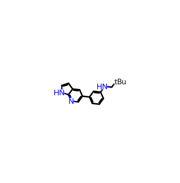 CC(C)(C)CNc1cccc(-c2cnc3[nH]ccc3c2)c1